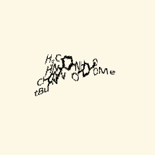 COC(=O)c1ccc(C(=O)Nc2ccc(C)c(-c3nn4nc(C(C)(C)C)c(Cl)c4[nH]3)c2)cc1